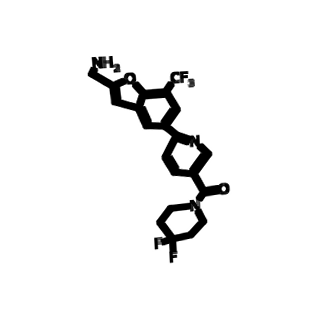 NCc1cc2cc(-c3ccc(C(=O)N4CCC(F)(F)CC4)cn3)cc(C(F)(F)F)c2o1